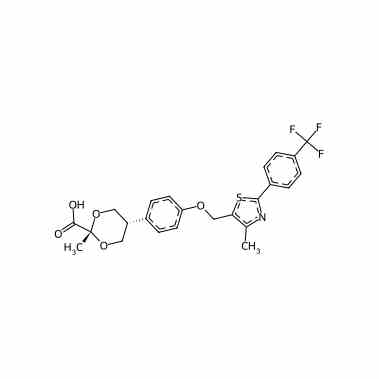 Cc1nc(-c2ccc(C(F)(F)F)cc2)sc1COc1ccc([C@H]2CO[C@@](C)(C(=O)O)OC2)cc1